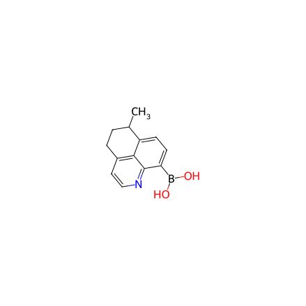 CC1CCc2ccnc3c(B(O)O)ccc1c23